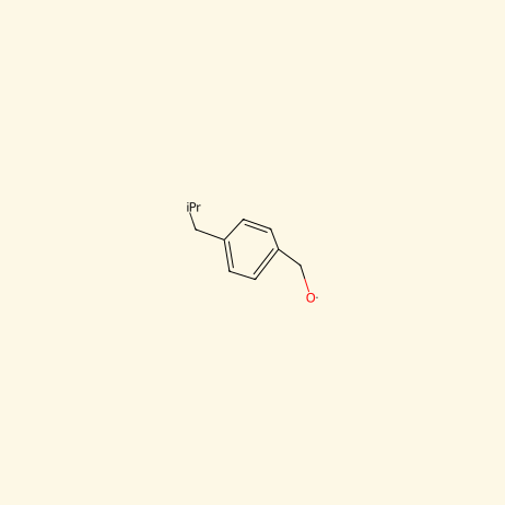 CC(C)Cc1ccc(C[O])cc1